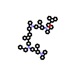 c1ccc(-c2cccc(N(c3ccc(-c4ccc(-n5c6ccccc6c6ccccc65)cc4-c4ccccc4)cc3)c3ccc(-c4cc5ccc(-c6ccc7c8ccccc8n(-c8ccc(-c9ccc(N(c%10ccc(-c%11cc%12ccccc%12c%12ccccc%11%12)cc%10)c%10ccccc%10-c%10ccccc%10)cc9-c9ccccc9)cc8)c7c6)cc5c5ccccc45)cc3)c2)cc1